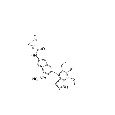 CCc1c(F)c(SC)c2[nH]ncc2c1-c1ccn2nc(NC(=O)[C@@H]3C[C@@H]3F)cc2c1.Cl.Cl